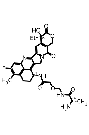 CC[C@@]1(O)C(=O)OCc2c1cc1n(c2=O)Cc2c-1nc1cc(F)c(C)c3c1c2[C@@H](NC(=O)COCNC(=O)[C@H](C)N)CC3